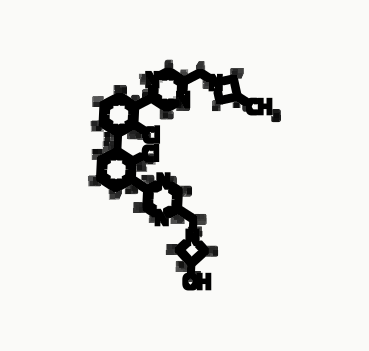 CC1CN(Cc2cnc(-c3cccc(-c4cccc(-c5cnc(CN6CC(O)C6)cn5)c4Cl)c3Cl)cn2)C1